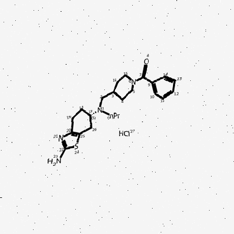 CCCN(CC1CCN(C(=O)c2ccccc2)CC1)[C@H]1CCc2nc(N)sc2C1.Cl